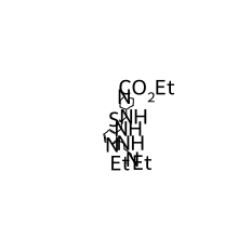 CCOC(=O)N1CCC(NC(=S)Nc2cccnc2NCCN(CC)CC)CC1